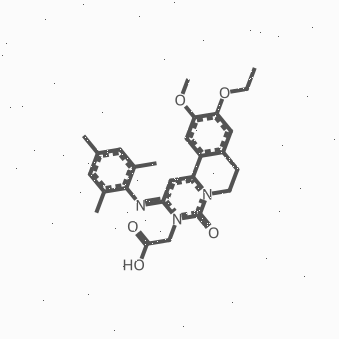 CCOc1cc2c(cc1OC)-c1c/c(=N\c3c(C)cc(C)cc3C)n(CC(=O)O)c(=O)n1CC2